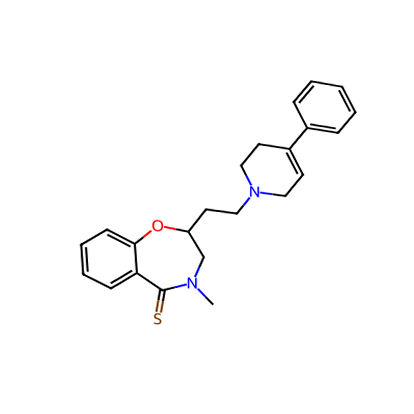 CN1CC(CCN2CC=C(c3ccccc3)CC2)Oc2ccccc2C1=S